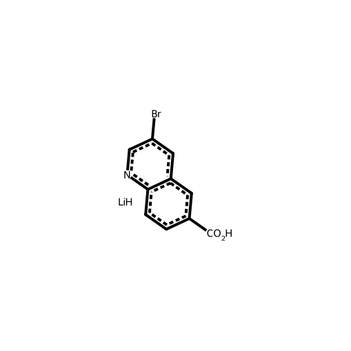 O=C(O)c1ccc2ncc(Br)cc2c1.[LiH]